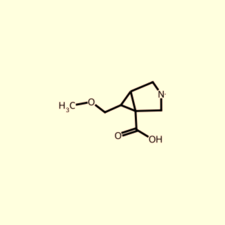 COCC1C2C[N]CC21C(=O)O